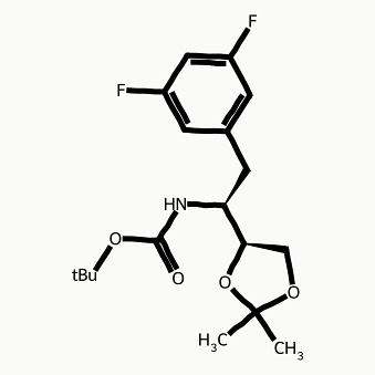 CC(C)(C)OC(=O)N[C@@H](Cc1cc(F)cc(F)c1)[C@H]1COC(C)(C)O1